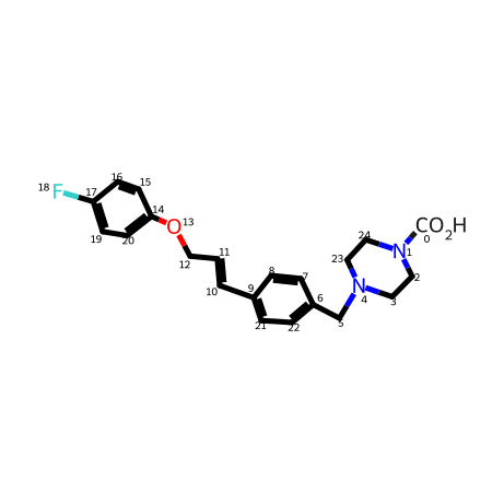 O=C(O)N1CCN(Cc2ccc(C=CCOc3ccc(F)cc3)cc2)CC1